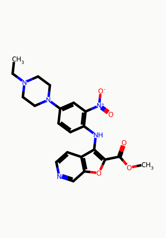 CCN1CCN(c2ccc(Nc3c(C(=O)OC)oc4cnccc34)c([N+](=O)[O-])c2)CC1